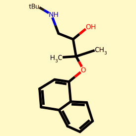 CC(C)(C)NCC(O)C(C)(C)Oc1cccc2ccccc12